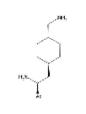 CC(=O)[C@@H](N)C[C@H]1CC[C@H](CN)CC1